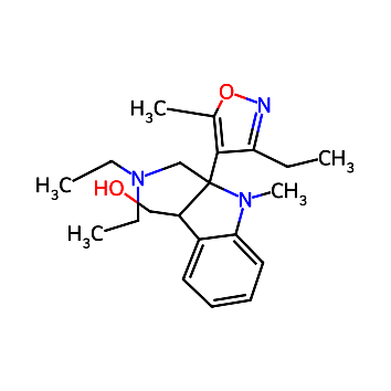 CCc1noc(C)c1C1(CN(CC)CC)C(CO)c2ccccc2N1C